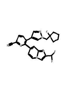 N#Cc1ccc(-c2cnn(CC3(F)CCCC3)c2)c(-c2ccn3cc(C(F)F)nc3c2)n1